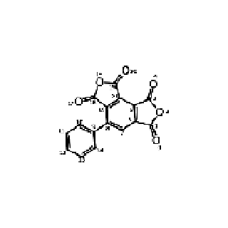 O=c1oc(=O)c2c1cc(-c1ccccc1)c1c(=O)oc(=O)c12